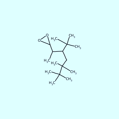 CC(C1OO1)C(CC(C)(C)C(C)(C)C)C(C)(C)C